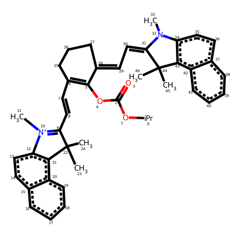 CC(C)OC(=O)OC1=C(/C=C/C2=[N+](C)c3ccc4ccccc4c3C2(C)C)CCC/C1=C\C=C1\N(C)c2ccc3ccccc3c2C1(C)C